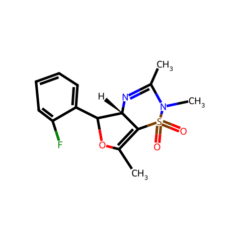 CC1=N[C@@H]2C(=C(C)OC2c2ccccc2F)S(=O)(=O)N1C